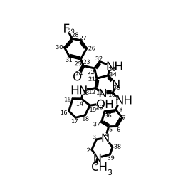 CN1CCN(c2ccc(Nc3nc(NC4CCCCC4O)c4c(C(=O)c5ccc(F)cc5)c[nH]c4n3)cc2)CC1